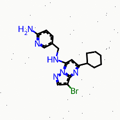 Nc1ccc(CNc2cc(C3CCCCC3)nc3c(Br)cnn23)cn1